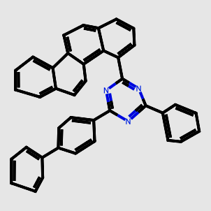 c1ccc(-c2ccc(-c3nc(-c4ccccc4)nc(-c4cccc5ccc6c7ccccc7ccc6c45)n3)cc2)cc1